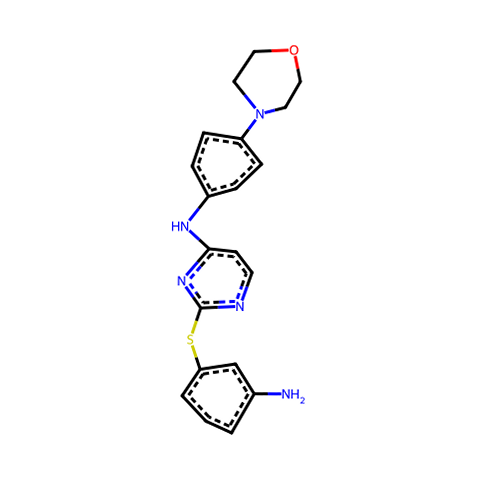 Nc1cccc(Sc2nccc(Nc3ccc(N4CCOCC4)cc3)n2)c1